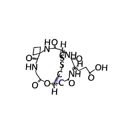 O=C(O)CC[C@H]1NC(=O)C[C@H]2/C=C/CCSSC[C@@H](NC1=O)C(=O)NC1(CCC1)C(=O)NCC(=O)O2